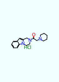 Cl.O=C(CN1CCCCC1)N1CCn2c(cc3ccccc32)C1